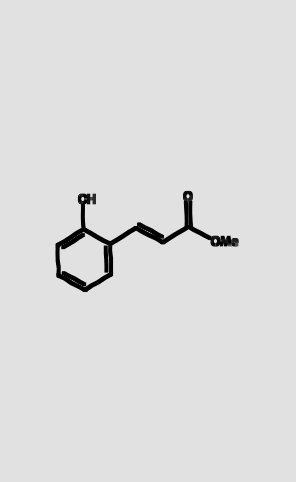 COC(=O)C=Cc1ccccc1O